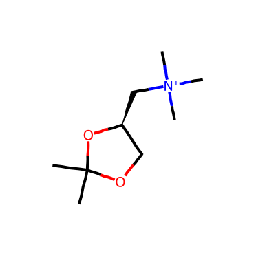 CC1(C)OC[C@H](C[N+](C)(C)C)O1